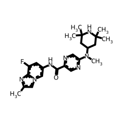 Cc1cn2cc(NC(=O)c3cnc(N(C)C4CC(C)(C)NC(C)(C)C4)cn3)cc(F)c2n1